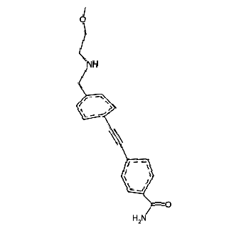 COCCNCc1ccc(C#Cc2ccc(C(N)=O)cc2)cc1